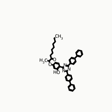 CCCCCCCCC(=O)C(C)Oc1ccc(-c2nc(-c3ccc(-c4ccccc4)cc3)nc(-c3ccc(-c4ccccc4)cc3)n2)c(O)c1